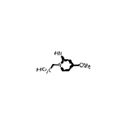 COc1ccn(CC(=O)O)c(=N)c1